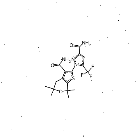 CC1(C)Cc2c(sc(-n3nc(C(N)=O)cc3C(F)(F)F)c2C(N)=O)C(C)(C)O1